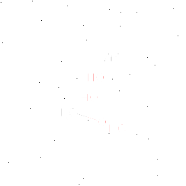 C[O-].[OH-].[OH-].[OH-].[Zr+4]